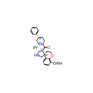 COc1cccc2c1OCC[C@]21CNC[C@H]1C(=O)N1CC[C@@H](c2ccccc2)C[C@H]1C(C)C